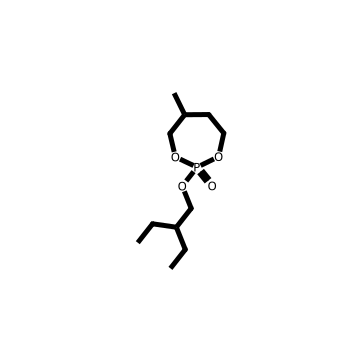 CCC(CC)COP1(=O)OCCC(C)CO1